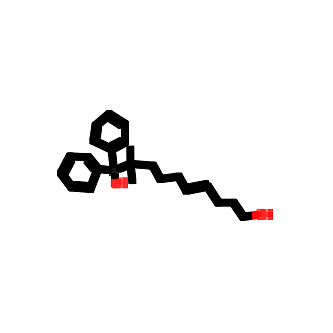 CC(C)(CCC/C=C/CCCO)[Si](O)(c1ccccc1)c1ccccc1